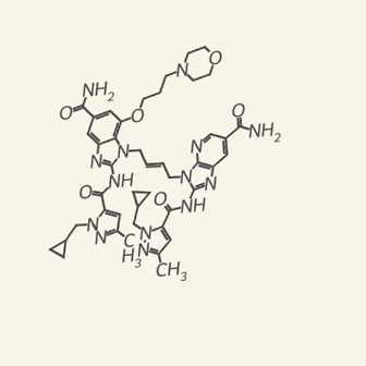 Cc1cc(C(=O)Nc2nc3cc(C(N)=O)cnc3n2C/C=C/Cn2c(NC(=O)c3cc(C)nn3CC3CC3)nc3cc(C(N)=O)cc(OCCCN4CCOCC4)c32)n(CC2CC2)n1